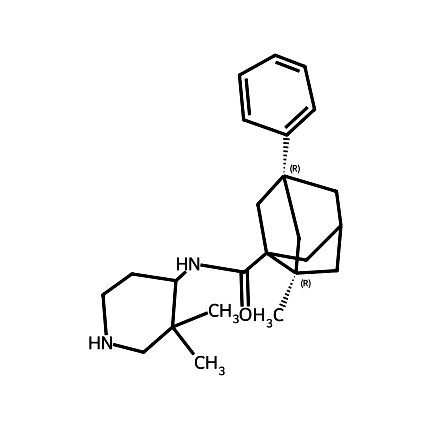 CC1(C)CNCCC1NC(=O)C12CC3C[C@](c4ccccc4)(C1)C[C@@]2(C)C3